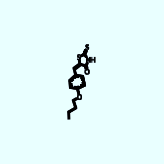 CCCCOc1ccc(C=C2SC(=S)NC2=O)cc1